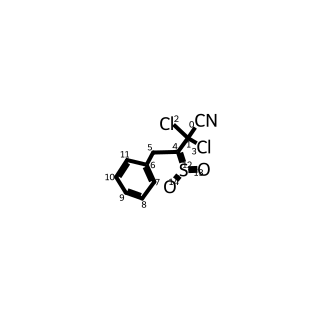 N#CC(Cl)(Cl)C(Cc1ccccc1)=S(=O)=O